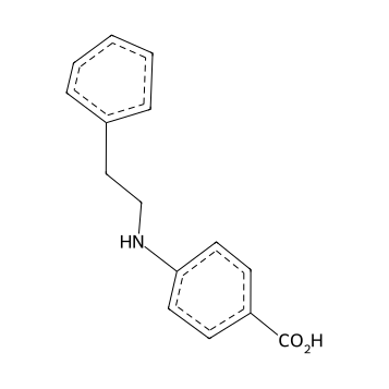 O=C(O)c1ccc(NCCc2ccccc2)cc1